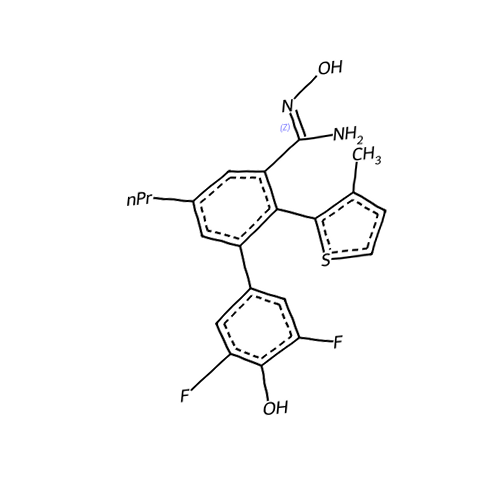 CCCc1cc(/C(N)=N/O)c(-c2sccc2C)c(-c2cc(F)c(O)c(F)c2)c1